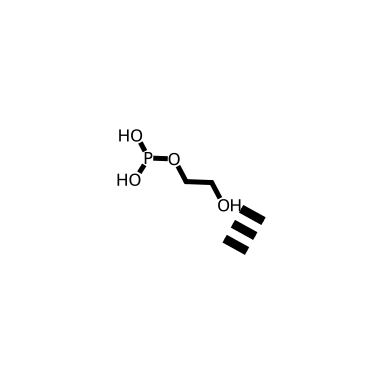 C=C.C=C.C=C.OCCOP(O)O